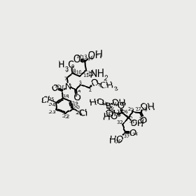 COCCC(=O)N(CC(C)C[C@@H](N)C(=O)O)C(=O)c1cc(Cl)ccc1Cl.O=C(O)CC(O)(CC(=O)O)C(=O)O.OB(O)O